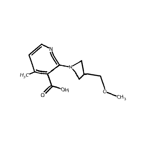 COCC1CN(c2nccc(C)c2C(=O)O)C1